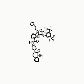 O=C(O)[C](Cc1cc(C(F)(F)F)cc(C(F)(F)F)c1)c1nc2c(C(=O)NN3CCC(N4CCc5ccccc5NC4=O)CC3)cccc2n1CCCN1CCCC1